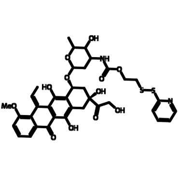 CC=C1c2c(OC)cccc2C(=O)c2c(O)c3c(c(O)c21)[C@@H](OC1CC(NC(=O)OCCSSc2ccccn2)C(O)C(C)O1)C[C@](O)(C(=O)CO)C3